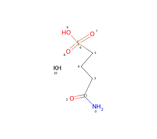 NC(=O)CCCS(=O)(=O)O.[KH]